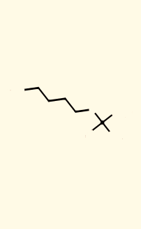 CCCCCCCCCCCCSC(C)(C)C(=O)OCC